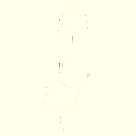 Brc1ccc(NCc2ccccc2)c(Br)c1